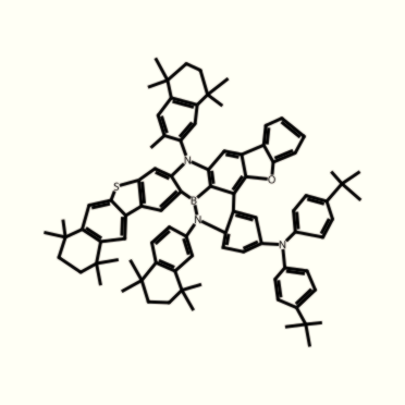 Cc1cc2c(cc1N1c3cc4sc5cc6c(cc5c4cc3B3c4c1cc1c(oc5ccccc51)c4-c1cc(N(c4ccc(C(C)(C)C)cc4)c4ccc(C(C)(C)C)cc4)ccc1N3c1ccc3c(c1)C(C)(C)CCC3(C)C)C(C)(C)CCC6(C)C)C(C)(C)CCC2(C)C